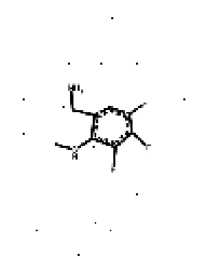 CBc1c(CN)cc(F)c(F)c1F